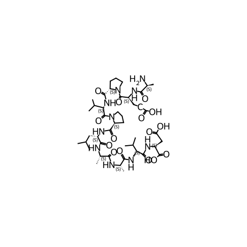 CC(C)C[C@H](NC(=O)[C@@H]1CCCN1C(=O)[C@@H](NC(=O)[C@@H]1CCCN1C(=O)[C@H](CCC(=O)O)NC(=O)[C@H](C)N)C(C)C)C(=O)N[C@@H](C)C(=O)N[C@@H](C)C(=O)N[C@H](C(=O)N[C@@H](CC(=O)O)C(=O)O)C(C)C